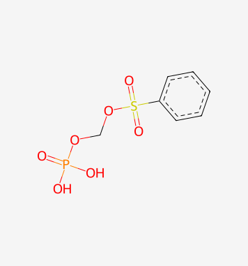 O=P(O)(O)OCOS(=O)(=O)c1ccccc1